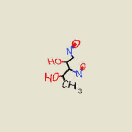 CC(O)C(N=O)C(O)CN=O